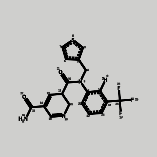 [2H]c1c(N(Cc2ccsc2)C(=O)C2C=C(C(N)=O)C=NC2)cccc1C(F)(F)F